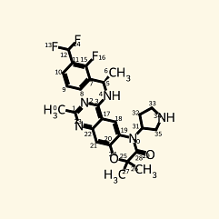 Cc1nc(N[C@H](C)c2cccc(C(F)F)c2F)c2cc3c(cc2n1)OC(C)(C)C(=O)N3C1CCNC1